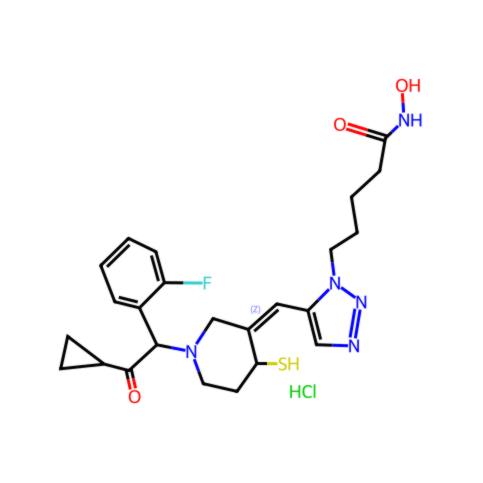 Cl.O=C(CCCCn1nncc1/C=C1/CN(C(C(=O)C2CC2)c2ccccc2F)CCC1S)NO